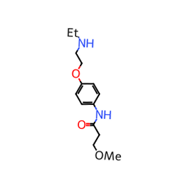 CCNCCOc1ccc(NC(=O)CCOC)cc1